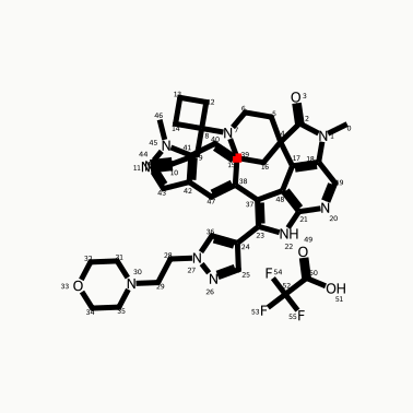 CN1C(=O)C2(CCN(C3(CC#N)CCC3)CC2)c2c1cnc1[nH]c(-c3cnn(CCN4CCOCC4)c3)c(-c3ccc4c(cnn4C)c3)c21.O=C(O)C(F)(F)F